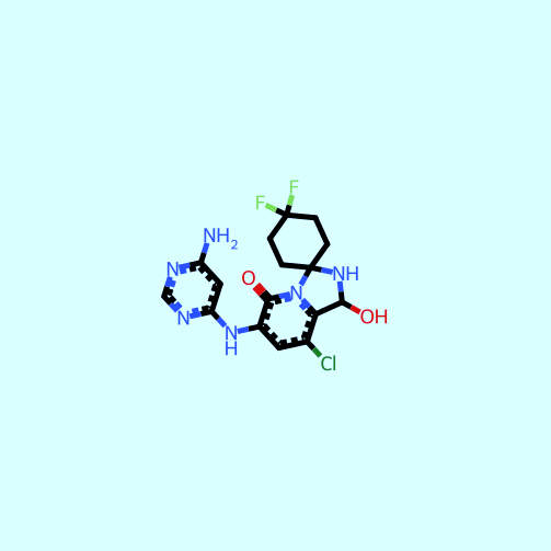 Nc1cc(Nc2cc(Cl)c3n(c2=O)C2(CCC(F)(F)CC2)NC3O)ncn1